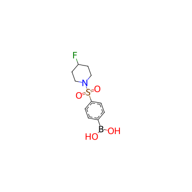 O=S(=O)(c1ccc(B(O)O)cc1)N1CCC(F)CC1